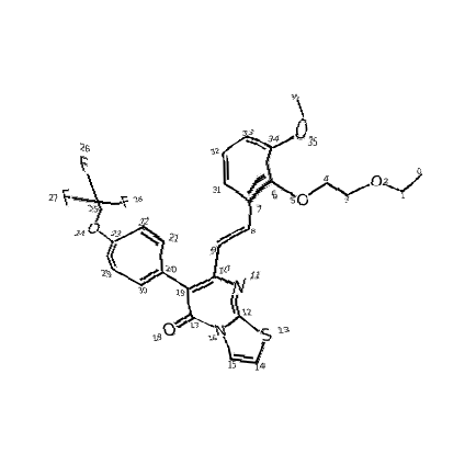 CCOCCOc1c(C=Cc2nc3sccn3c(=O)c2-c2ccc(OC(F)(F)F)cc2)cccc1OC